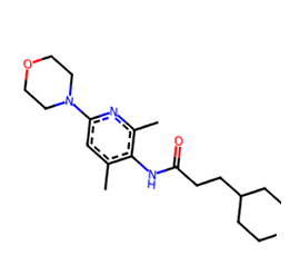 Cc1cc(N2CCOCC2)nc(C)c1NC(=O)CCC1CCCCC1